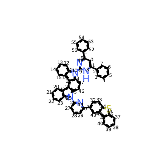 C1=C(c2ccccc2)NC(n2c3ccccc3c3c4c5ccccc5n(-c5cccc(-c6ccc7sc8ccccc8c7c6)n5)c4ccc32)N=C1c1ccccc1